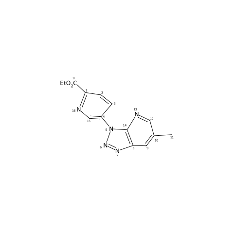 CCOC(=O)c1ccc(-n2nnc3cc(C)cnc32)cn1